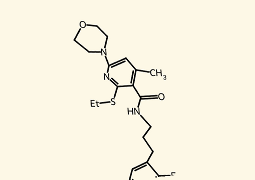 CCSc1nc(N2CCOCC2)cc(C)c1C(=O)NCCCc1ccccc1F